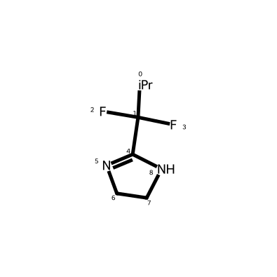 CC(C)C(F)(F)C1=NCCN1